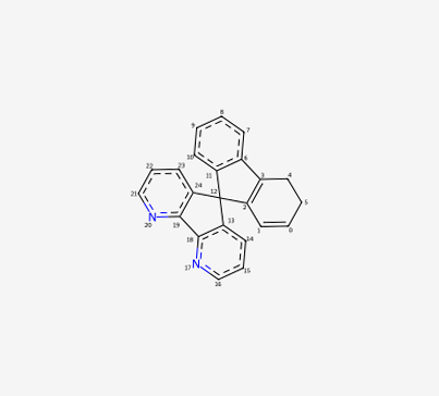 C1=CC2=C(CC1)c1ccccc1C21c2cccnc2-c2ncccc21